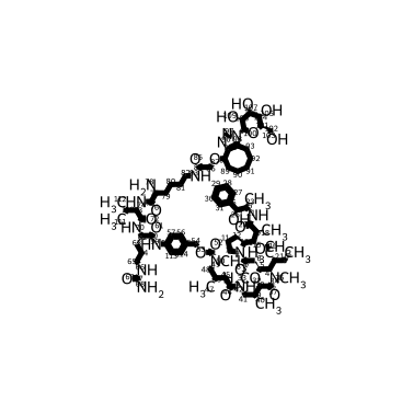 CC[C@H](C)[C@@H]([C@@H](CC(=O)N1CCC[C@H]1[C@H](OC)[C@@H](C)C(=O)N[C@H](C)[C@@H](O)c1ccccc1)OC)N(C)C(=O)CC(C)CNC(=O)CC(C)CN(C)C(=O)OCc1ccc(NC(=O)[C@H](CCCNC(N)=O)NC(=O)[C@@H](NC(=O)[C@H](N)CCCCNC(=O)COC2CCCCCc3c2nnn3[C@@H]2O[C@H](CO)[C@H](O)[C@H](O)[C@H]2O)C(C)C)cc1